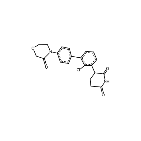 O=C1CCC(c2cccc(-c3ccc(N4CCOCC4=O)cc3)c2Cl)C(=O)N1